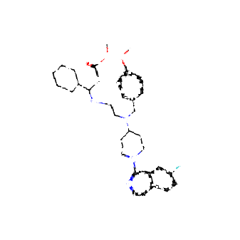 COC(=O)CC(NCCN(Cc1ccc(OC)cc1)C1CCN(c2nccc3ccc(F)cc23)CC1)C1CCCCC1